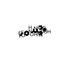 CP(=O)(O)O[C@@H]1CCN(c2ncc(C(=O)Nc3ccc(OC(F)(F)F)cc3)cc2-c2ccn[nH]2)C1